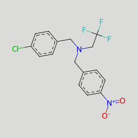 O=[N+]([O-])c1ccc(CN(Cc2ccc(Cl)cc2)CC(F)(F)F)cc1